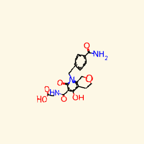 NC(=O)c1ccc(Cn2c3c(c(O)c(C(=O)NCC(=O)O)c2=O)CCOC3)cc1